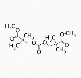 COC(=O)C(C)(C)COC(=O)OCC(C)(C)C(=O)OC